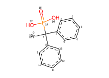 CC(C)C(c1ccccc1)(c1ccccc1)P(=O)(O)O